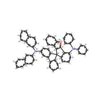 c1ccc(N(c2ccccc2)c2cccc3c2-c2oc4ccccc4c2C32c3ccccc3-c3cc(N(c4ccc5ccccc5c4)c4ccc5ccccc5c4)ccc32)cc1